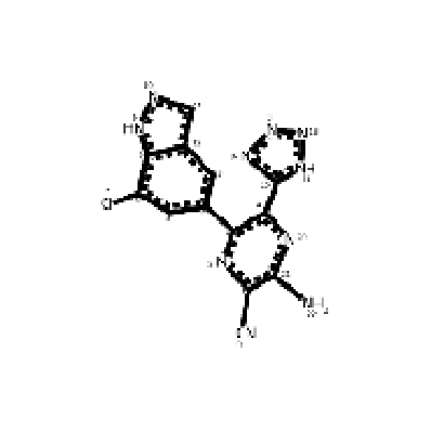 N#Cc1nc(-c2cc(Cl)c3[nH]ncc3c2)c(-c2nnn[nH]2)nc1N